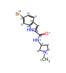 CN1CCC(NC(=O)c2cc3ccc(Br)cc3[nH]2)C1